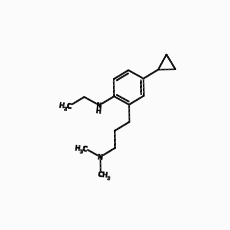 CCNc1ccc(C2CC2)cc1CCCN(C)C